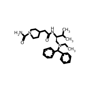 CCN(C[C@@H](NC(=O)CC1CCN(C(N)=O)CC1)C(C)C)C(c1ccccc1)c1ccccc1